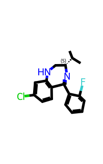 CC(C)[C@H]1CNc2cc(Cl)ccc2C(c2ccccc2F)=N1